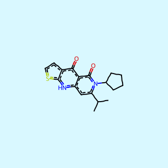 CC(C)c1cc2[nH]c3sccc3c(=O)c2c(=O)n1C1CCCC1